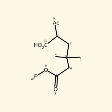 CC(=O)C(CC(C)(C)CC(=O)OF)C(=O)O